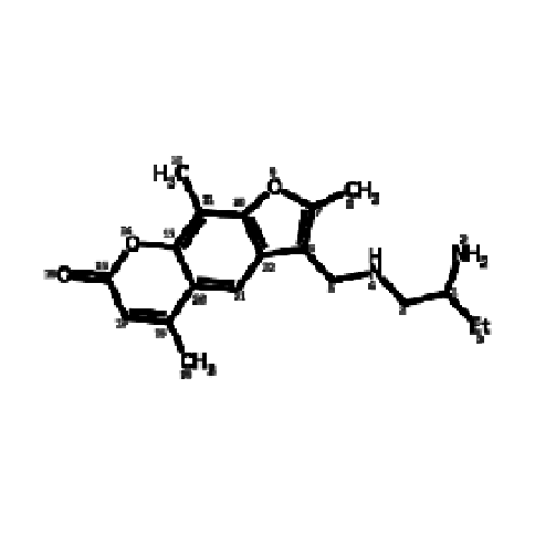 CCC(N)CNCc1c(C)oc2c(C)c3oc(=O)cc(C)c3cc12